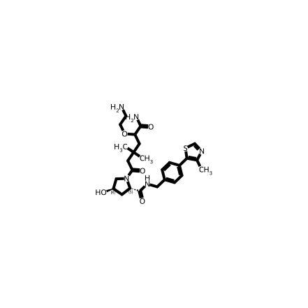 Cc1ncsc1-c1ccc(CNC(=O)[C@@H]2C[C@@H](O)CN2C(=O)CC(C)(C)CC(OCCN)C(N)=O)cc1